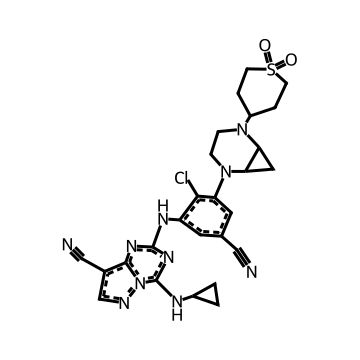 N#Cc1cc(Nc2nc(NC3CC3)n3ncc(C#N)c3n2)c(Cl)c(N2CCN(C3CCS(=O)(=O)CC3)C3CC32)c1